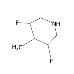 CC1C(F)CNCC1F